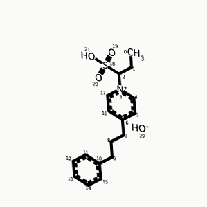 CCC([n+]1ccc(CCCc2ccccc2)cc1)S(=O)(=O)O.[OH-]